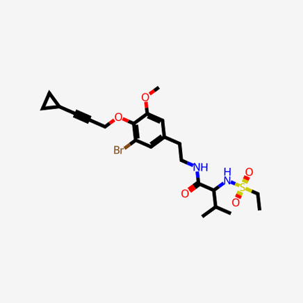 CCS(=O)(=O)NC(C(=O)NCCc1cc(Br)c(OCC#CC2CC2)c(OC)c1)C(C)C